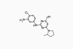 CCCc1cc(N2CCCC2C)nc(Nc2ccc(Cl)c(N)c2)n1